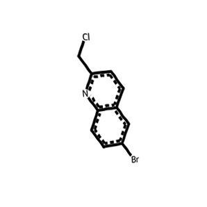 ClCc1ccc2cc(Br)ccc2n1